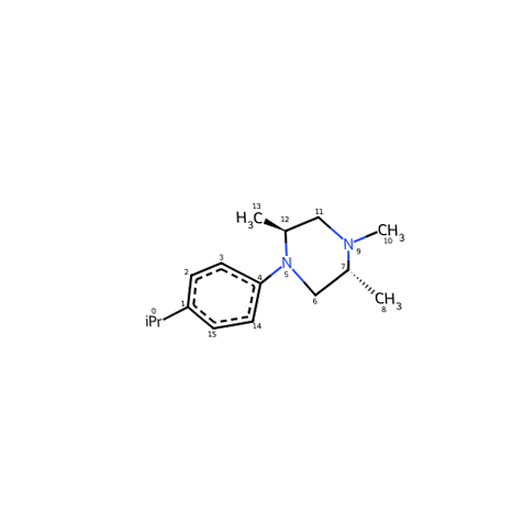 CC(C)c1ccc(N2C[C@@H](C)N(C)C[C@@H]2C)cc1